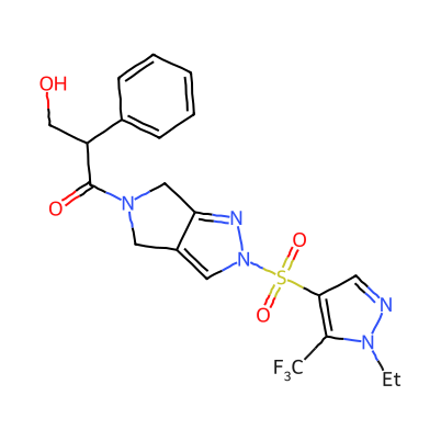 CCn1ncc(S(=O)(=O)n2cc3c(n2)CN(C(=O)C(CO)c2ccccc2)C3)c1C(F)(F)F